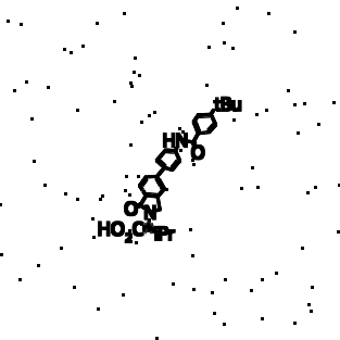 CC(C)[C@@H](C(=O)O)N1Cc2cc(-c3ccc(NC(=O)c4ccc(C(C)(C)C)cc4)cc3)ccc2C1=O